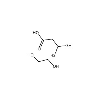 O=C(O)CC(S)S.OCCO